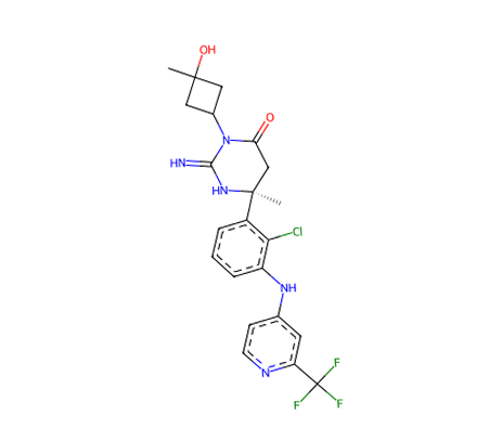 CC1(O)CC(N2C(=N)N[C@](C)(c3cccc(Nc4ccnc(C(F)(F)F)c4)c3Cl)CC2=O)C1